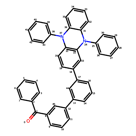 O=C(c1ccccc1)c1cccc(-c2cccc(-c3ccc4c(c3)N(c3ccccc3)c3ccccc3N4c3ccccc3)c2)c1